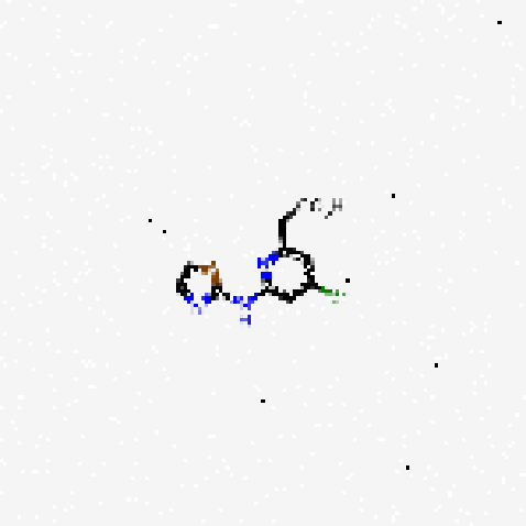 O=C(O)Cc1cc(Br)cc(Nc2nccs2)n1